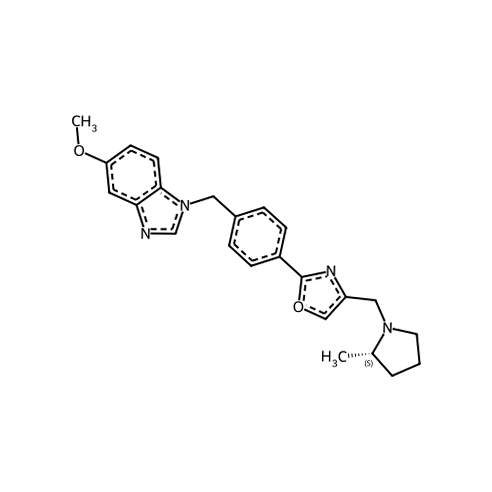 COc1ccc2c(c1)ncn2Cc1ccc(-c2nc(CN3CCC[C@@H]3C)co2)cc1